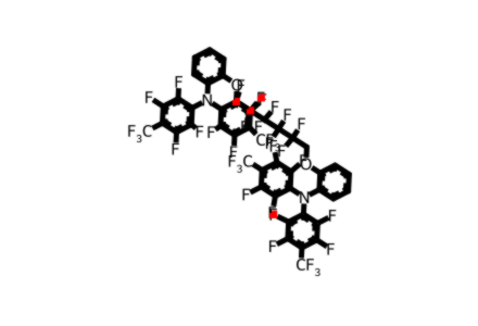 Fc1c(F)c(C(F)(F)F)c(F)c(F)c1N(c1ccccc1OCC(F)(F)C(F)(F)C(F)(F)C(F)(F)COc1ccccc1N(c1c(F)c(F)c(C(F)(F)F)c(F)c1F)c1c(F)c(F)c(C(F)(F)F)c(F)c1F)c1c(F)c(F)c(C(F)(F)F)c(F)c1F